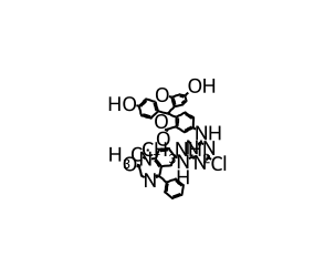 C[N+]1(C)C(=O)CN=C(c2ccccc2)C2=C1C=CC(N)(Nc1nc(Cl)nc(Nc3ccc4c(c3)C(=O)OC43c4ccc(O)cc4Oc4cc(O)ccc43)n1)C2